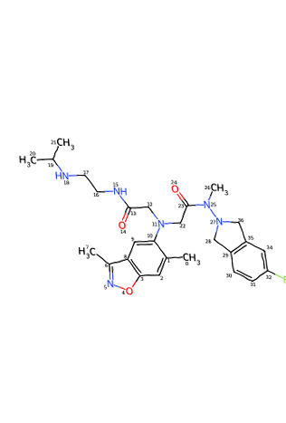 Cc1cc2onc(C)c2cc1N(CC(=O)NCCNC(C)C)CC(=O)N(C)N1Cc2ccc(F)cc2C1